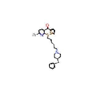 CC(C)c1ccc(C(=O)c2cccs2)c(SCCCCCCN2CCC(Cc3ccccc3)CC2)n1